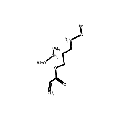 C=CC(=O)OCCC[SiH2]OCC.CO[SiH2]OC